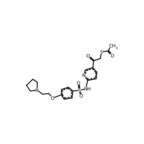 CC(=O)SCC(=O)c1ccc(NS(=O)(=O)c2ccc(OCCN3CCCC3)cc2)nc1